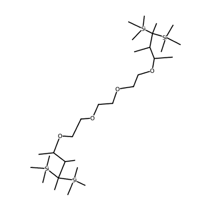 CC(OCCOCCOCCOC(C)C(C)C(C)([Si](C)(C)C)[Si](C)(C)C)C(C)C(C)([Si](C)(C)C)[Si](C)(C)C